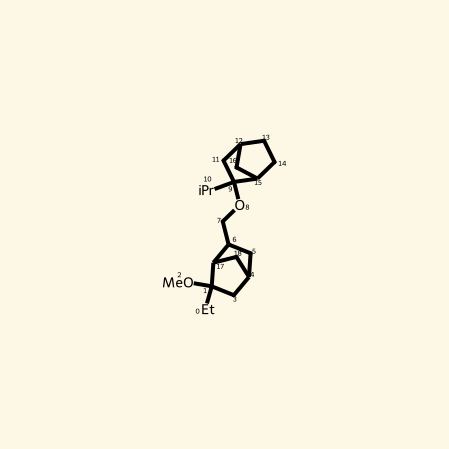 CCC1(OC)CC2CC(COC3(C(C)C)CC4CCC3C4)C1C2